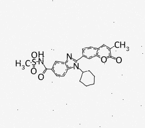 Cc1cc2ccc(-c3nc4cc(C(=O)NS(C)(=O)=O)ccc4n3C3CCCCC3)cc2oc1=O